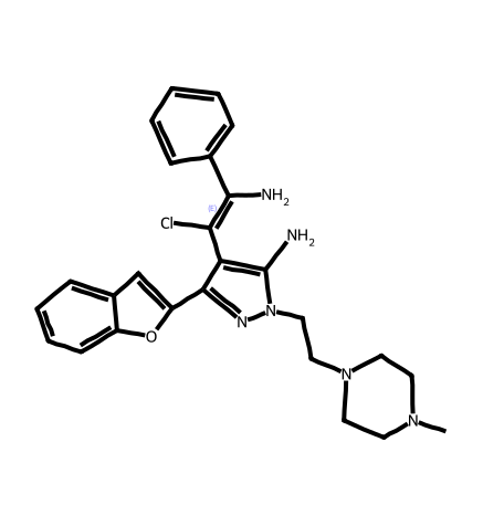 CN1CCN(CCn2nc(-c3cc4ccccc4o3)c(/C(Cl)=C(\N)c3ccccc3)c2N)CC1